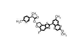 COc1cnc2c(-c3nc4cc(F)c5c(c4s3)C[C@@H](OC(=O)N(C)c3ccc(C)nc3)O5)cc(C)cc2n1